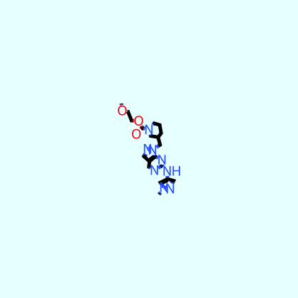 COCCOC(=O)N1CCCC(Cn2ncc3cnc(Nc4cnn(C)c4)nc32)C1